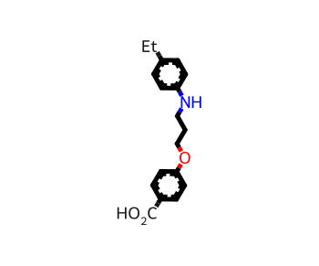 CCc1ccc(NCCCOc2ccc(C(=O)O)cc2)cc1